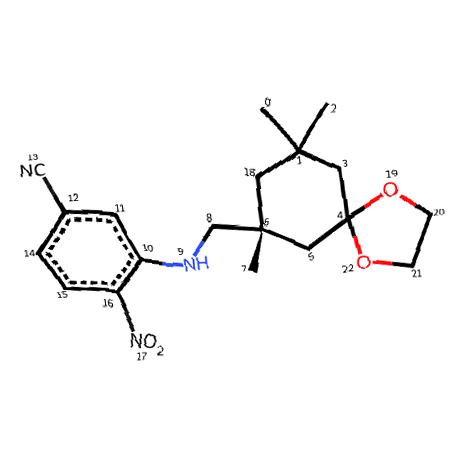 CC1(C)CC2(C[C@](C)(CNc3cc(C#N)ccc3[N+](=O)[O-])C1)OCCO2